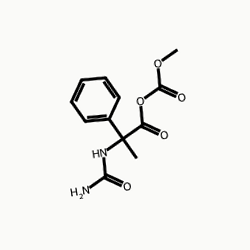 COC(=O)OC(=O)C(C)(NC(N)=O)c1ccccc1